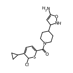 NC1=CC(C2CCN(C(=O)C3=CC=C(C4CC4)C(Cl)S3)CC2)NO1